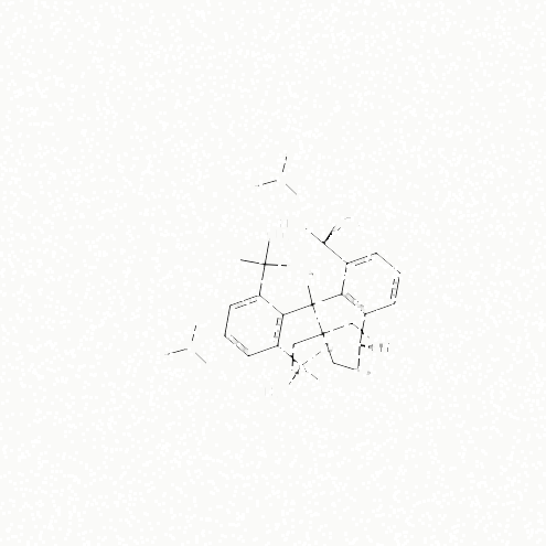 CC(C)(C)c1cccc(C(C)(C)C)c1C(O)(c1c(C(C)(C)C)cccc1C(C)(C)C)C(CO)(CO)CO.OP(O)O.OP(O)O